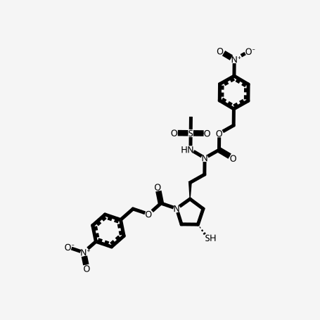 CS(=O)(=O)NN(CC[C@H]1C[C@H](S)CN1C(=O)OCc1ccc([N+](=O)[O-])cc1)C(=O)OCc1ccc([N+](=O)[O-])cc1